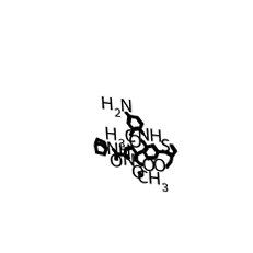 COC(=O)c1nc(C(=O)NC23CCC(CC2)C3)ccc1-c1cc2c(cc1C(=O)Nc1ccc(CN)cc1C)-c1sccc1CCO2